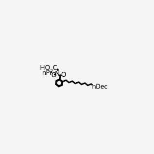 CCCCCCCCCCCCCCCCCCCc1ccccc1C(=O)N(CC(=O)O)OCCC